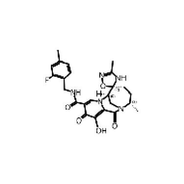 CC1=NO[C@@]2(CC[C@H](C)N3C[C@H]2n2cc(C(=O)NCc4ccc(C)cc4F)c(=O)c(O)c2C3=O)N1